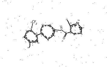 Cc1ccc(C(F)(F)F)c(-c2ccc(NC(=O)c3cccnc3C)cc2)c1